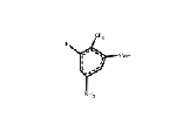 CSc1cc(N)cc(F)c1C(F)(F)F